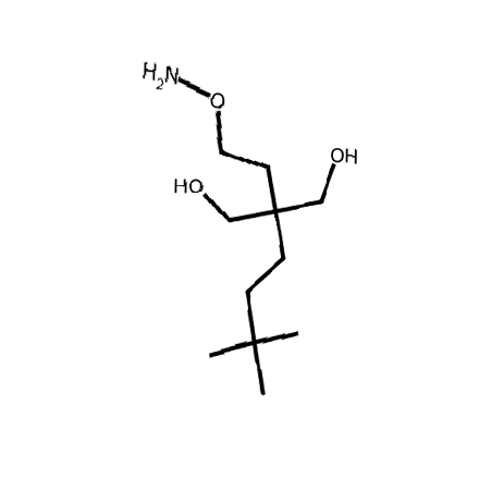 CC(C)(C)CCC(CO)(CO)CCON